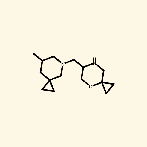 CC1CN(CC2COC3(CC3)CN2)CC2(CC2)C1